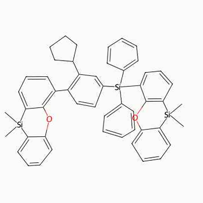 C[Si]1(C)c2ccccc2Oc2c(-c3ccc([Si](c4ccccc4)(c4ccccc4)c4cccc5c4Oc4ccccc4[Si]5(C)C)cc3C3CCCC3)cccc21